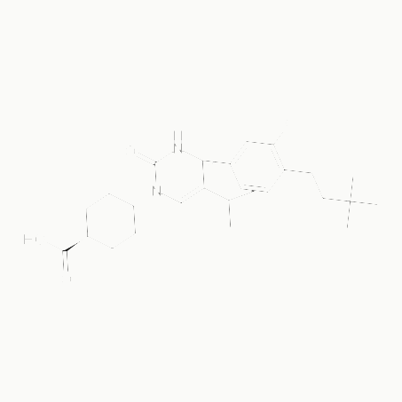 CC(C)C1=CN([C@H]2CC[C@H](C(=O)O)CC2)C(=O)N[C@@]1(C)c1ccc(CCC(C)(C)C)c(Cl)c1